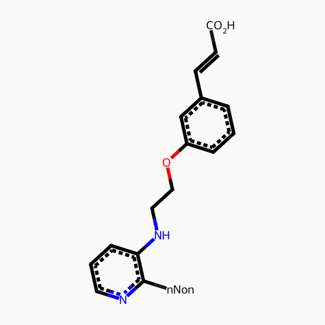 CCCCCCCCCc1ncccc1NCCOc1cccc(C=CC(=O)O)c1